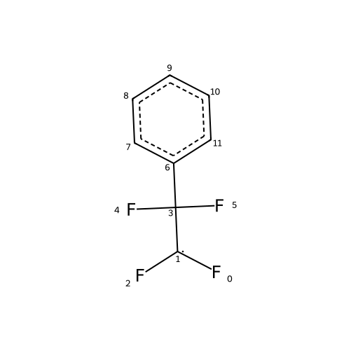 F[C](F)C(F)(F)c1ccccc1